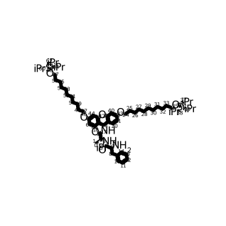 CC(C)C[C@H](NC(=O)[C@@H](N)Cc1ccccc1)C(=O)NC1c2ccc(OCCCCCCCCCCCO[Si](C(C)C)(C(C)C)C(C)C)cc2Oc2cc(OCCCCCCCCCCCO[Si](C(C)C)(C(C)C)C(C)C)ccc21